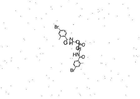 Cc1cc(Br)ccc1C(=O)NCO[PH](=O)OCNC(=O)c1ccc(Br)cc1C